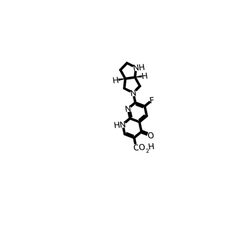 O=C(O)c1c[nH]c2nc(N3C[C@@H]4CCN[C@@H]4C3)c(F)cc2c1=O